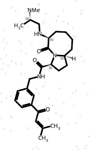 CN[C@@H](C)CN[C@H]1CCCC[C@H]2CC[C@@H](C(=O)NCc3cccc(C(=O)C=C(C)C)c3)N2C1=O